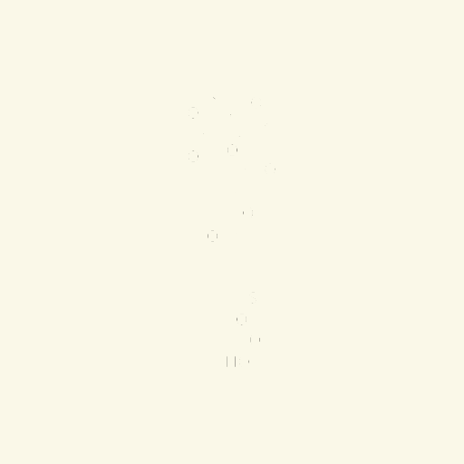 O=C(CCSOOO)OCC(=O)OC1C2CC3C(=O)OC1C3O2